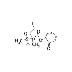 C[C@@](CCI)(C(=O)On1ccccc1=O)S(C)(=O)=O